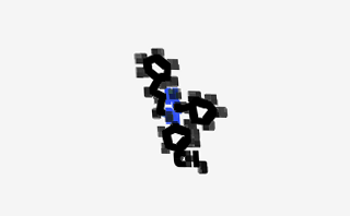 Cc1ccc(N2CC(Cc3ccccc3)N=C2c2ccccc2)cc1